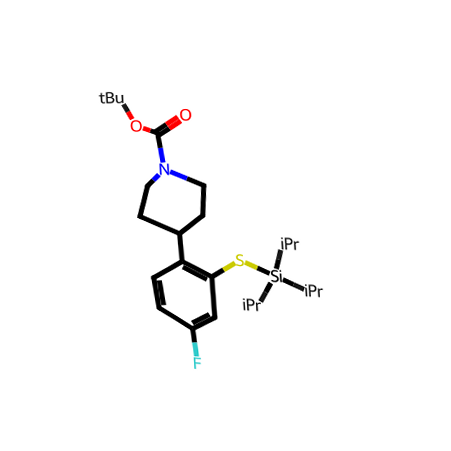 CC(C)[Si](Sc1cc(F)ccc1C1CCN(C(=O)OC(C)(C)C)CC1)(C(C)C)C(C)C